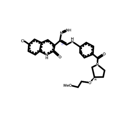 COCCO[C@@H]1CCN(C(=O)c2ccc(N/C=C(\N=N)c3cc4cc(Cl)ccc4[nH]c3=O)cc2)C1